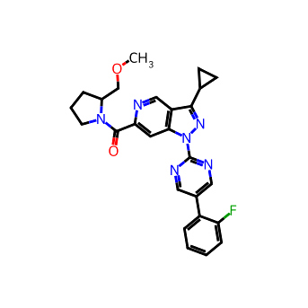 COCC1CCCN1C(=O)c1cc2c(cn1)c(C1CC1)nn2-c1ncc(-c2ccccc2F)cn1